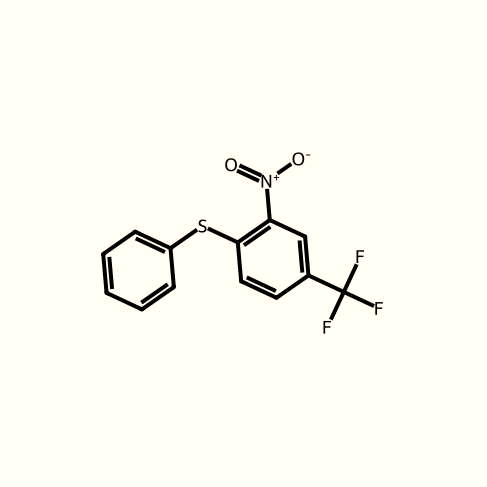 O=[N+]([O-])c1cc(C(F)(F)F)ccc1Sc1ccccc1